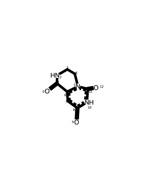 O=C1NCCn2c1cc(=O)[nH]c2=O